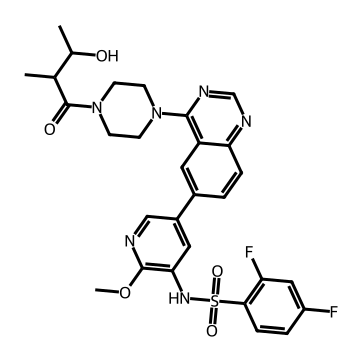 COc1ncc(-c2ccc3ncnc(N4CCN(C(=O)C(C)C(C)O)CC4)c3c2)cc1NS(=O)(=O)c1ccc(F)cc1F